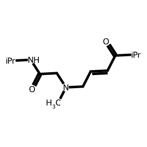 CC(C)NC(=O)CN(C)C/C=C/C(=O)C(C)C